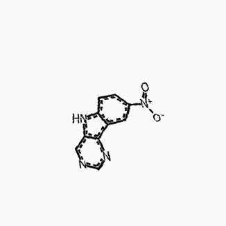 O=[N+]([O-])c1ccc2[nH]c3cncnc3c2c1